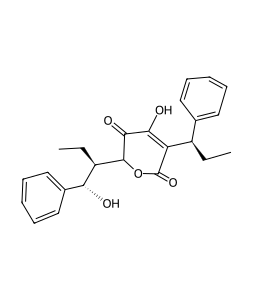 CC[C@@H](C1=C(O)C(=O)C([C@H](CC)[C@H](O)c2ccccc2)OC1=O)c1ccccc1